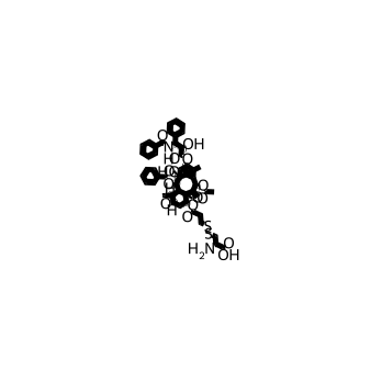 CC(=O)O[C@H]1C(=O)[C@@]2(C)C([C@@H]3CO[C@@H]3C[C@@H]2OC(=O)CCSSCC(N)C(=O)O)[C@H](OC(=O)c2ccccc2)[C@]2(O)C[C@H](OC(=O)[C@H](O)[C@@H](NC(=O)c3ccccc3)c3ccccc3)C(C)=C1C2(C)C